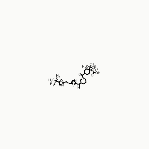 CC(C)(C)c1cnc(CSc2cnc(NC3CCCN(C(=O)C4CCC(NC(=O)O)(C(C)(C)C)CC4)C3)s2)o1